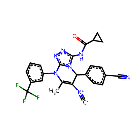 [C-]#[N+]C1=C(C)N(c2cccc(C(F)(F)F)c2)c2nnc(NC(=O)C3CC3)n2C1c1ccc(C#N)cc1